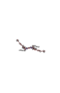 C=CC(=O)OCCCCCCOc1ccc2cc(CCC(=O)Cc3ccc(C(F)(F)Oc4ccc(OCCCCC)cc4/C=N/N=C/c4ccc5cc(/C=N/N=C/c6cc(OCCCCC)ccc6OC(F)(F)c6ccc(OC(=O)CCc7ccc8cc(OCCCCCCOC(=O)C=C)ccc8c7)c(F)c6F)ccc5c4)c(F)c3F)ccc2c1